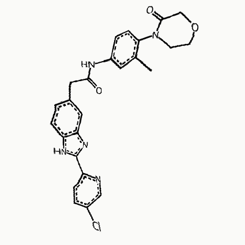 Cc1cc(NC(=O)Cc2ccc3[nH]c(-c4ccc(Cl)cn4)nc3c2)ccc1N1CCOCC1=O